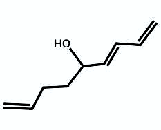 C=CC=CC(O)CCC=C